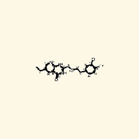 CCc1cnc2nc(COCCc3ccc(F)c(Cl)c3)[nH]c(=O)c2c1